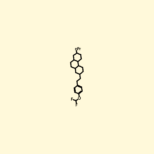 CCCC1CCC2C(CCC3CC(CCc4ccc(OC(F)F)cc4)CCC32)C1